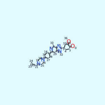 COc1ccc(-c2nc3c(C)nc(-c4ccc(N5CCN(CC6CC6)CC5)cc4)cc3n2C)cc1OC